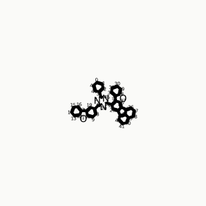 c1ccc(-c2nc(-c3ccc4oc5ccccc5c4c3)nc(-c3cc4c(c5oc6ccccc6c35)-c3cccc5cccc-4c35)n2)cc1